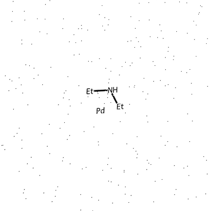 CCNCC.[Pd]